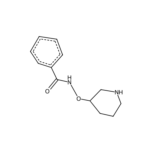 O=C(NOC1CCCNC1)c1ccccc1